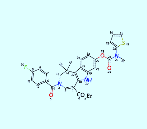 CCOC(=O)C1=CN(C(=O)c2ccc(F)cc2)CC(C)(C)c2c1[nH]c1cc(OC(=O)N(C)c3cccs3)ccc21